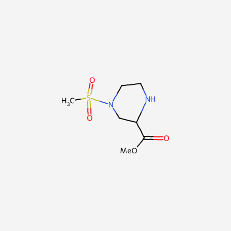 COC(=O)C1CN(S(C)(=O)=O)CCN1